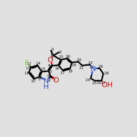 CC1(C)O/C(=C2/C(=O)Nc3ccc(F)cc32)c2ccc(CCCN3CCC(O)CC3)cc21